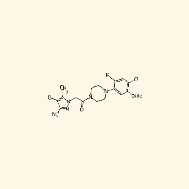 COc1cc(N2CCN(C(=O)Cn3nc(C#N)c(Cl)c3C)CC2)c(F)cc1Cl